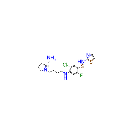 NC[C@H]1CCCN1CCCCNc1cc(F)c(SNc2nccs2)cc1Cl